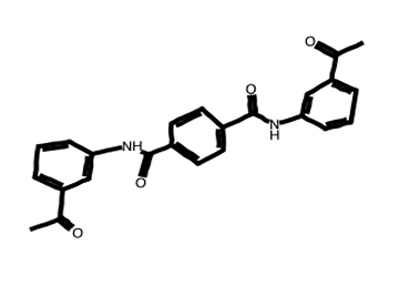 CC(=O)c1cccc(NC(=O)c2ccc(C(=O)Nc3cccc(C(C)=O)c3)cc2)c1